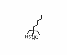 CCCCCC(CC)(CC)[PH](=O)S